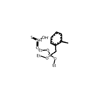 CCO[Si](Cc1ccccc1C)(OCC)OCC.O=[SH](O)=S